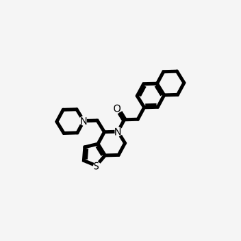 O=C(Cc1ccc2c(c1)CCCC2)N1CCc2sccc2C1CN1CCCCC1